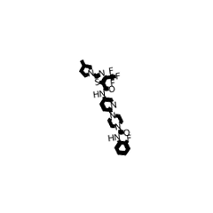 CC1CCN(c2nc(C(F)(F)F)c(C(=O)Nc3ccc(N4CCN(C(=O)Nc5ccccc5F)CC4)nc3)s2)C1